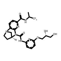 CC(NC(=O)c1ccc2c(n1)N(C(=O)Nc1cccc(OC[C@H](O)CO)n1)[C@H]1CCN2C1)C(F)(F)F